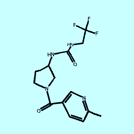 Cc1ccc(C(=O)N2CCC(NC(=O)NCC(F)(F)F)C2)cn1